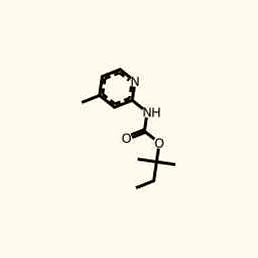 CCC(C)(C)OC(=O)Nc1cc(C)ccn1